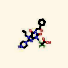 C=CCn1c(N2CCNCC2)nc2c1c(=O)n(CC(=O)c1ccccc1)c(=O)n2C.O=C(O)C(F)(F)F